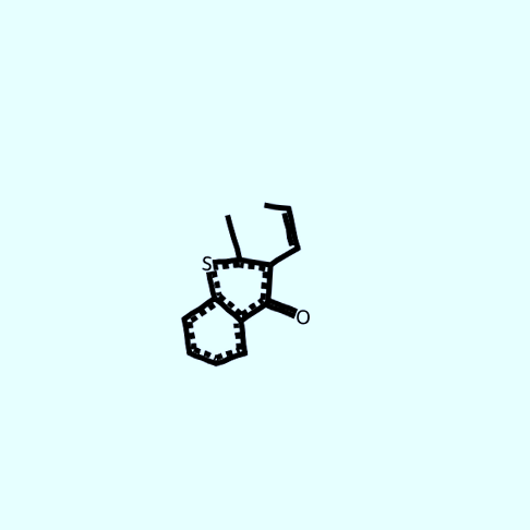 C/C=C\c1c(C)sc2ccccc2c1=O